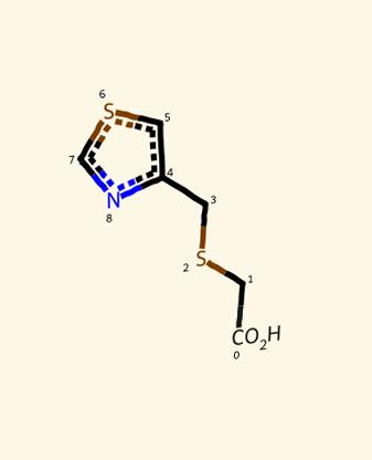 O=C(O)CSCc1cs[c]n1